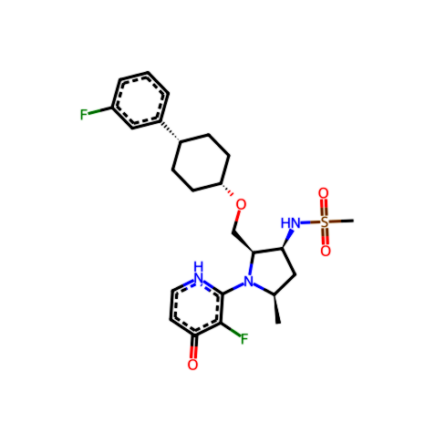 C[C@@H]1C[C@H](NS(C)(=O)=O)[C@H](CO[C@H]2CC[C@@H](c3cccc(F)c3)CC2)N1c1[nH]ccc(=O)c1F